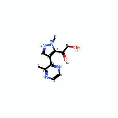 Cc1nccnc1-c1cnn(C)c1C(=O)CO